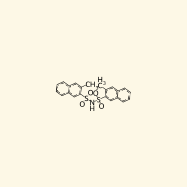 Cc1cc2ccccc2cc1S(=O)(=O)NS(=O)(=O)c1cc2ccccc2cc1C